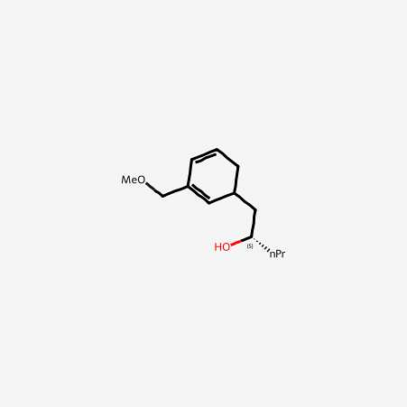 CCC[C@H](O)CC1C=C(COC)C=CC1